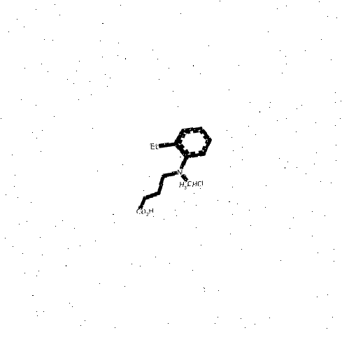 CCc1ccccc1N(C)CCCC(=O)O.Cl